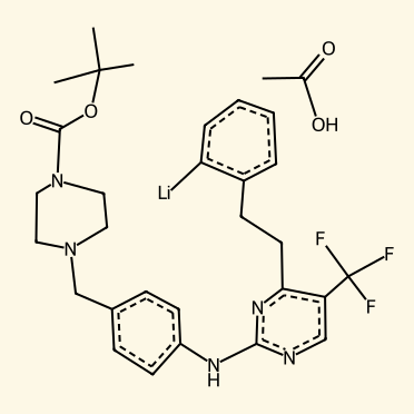 CC(=O)O.[Li][c]1ccccc1CCc1nc(Nc2ccc(CN3CCN(C(=O)OC(C)(C)C)CC3)cc2)ncc1C(F)(F)F